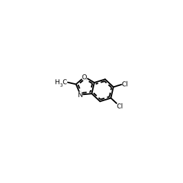 Cc1nc2cc(Cl)c(Cl)cc2o1